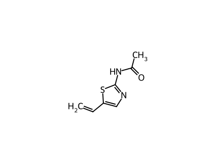 C=Cc1cnc(NC(C)=O)s1